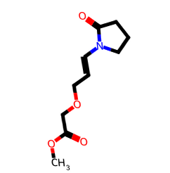 COC(=O)COCC=CN1CCCC1=O